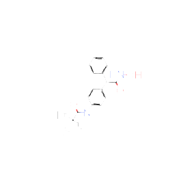 CCC(C)(C)C(=O)Nc1ccc(C(C(=O)NO)c2ccccc2)cc1